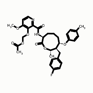 COc1ccnc(C(=O)N[C@H]2CCC[C@H](Oc3ccc(C)cc3)[C@@H](Cc3ccc(F)cc3)[C@H](C)OC2=O)c1OCOC(C)=O